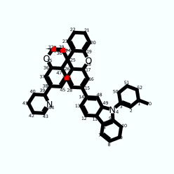 CC1C=C(N2C3=C(C=CCC3)C3C=CC(C4=CC5OC6=CCCC=C6C6(C5C=C4)C4C=CC=CC4OC4C=C(C5CCCC=N5)C=CC46)=CC32)CCC1